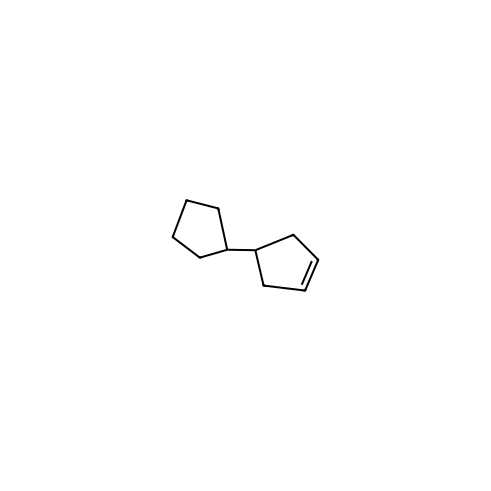 C1=CCC(C2CCCC2)C1